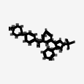 CC(C)(C)n1cc(-c2ccnc(Nc3ccc(N4CCNCC4)cc3)n2)c(-c2cccnc2)n1